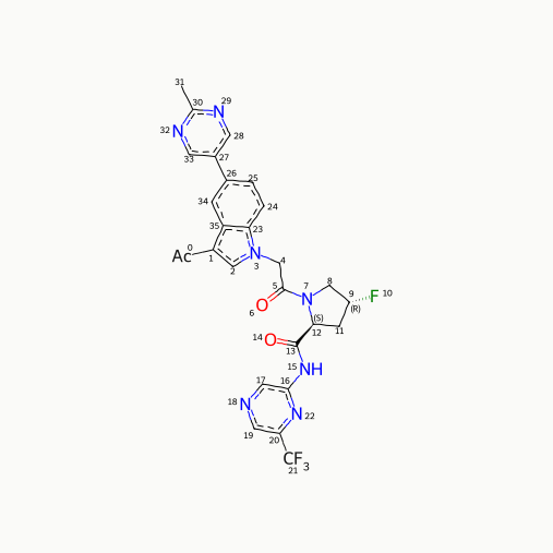 CC(=O)c1cn(CC(=O)N2C[C@H](F)C[C@H]2C(=O)Nc2cncc(C(F)(F)F)n2)c2ccc(-c3cnc(C)nc3)cc12